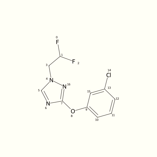 FC(F)Cn1cnc(Oc2cccc(Cl)c2)n1